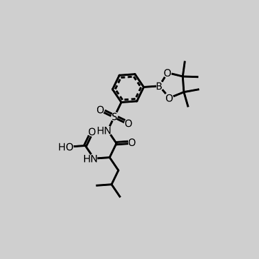 CC(C)CC(NC(=O)O)C(=O)NS(=O)(=O)c1cccc(B2OC(C)(C)C(C)(C)O2)c1